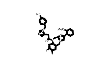 COc1ccccc1-c1cn2c(n1)CN(C(=O)Cc1cncn1Cc1ccc(C#N)cc1)c1cc(F)c(F)cc1C2